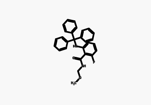 COCNC(=O)c1c(F)cccc1NC(c1ccccc1)(c1ccccc1)c1ccccc1